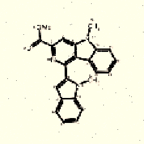 COC(=O)c1cc2c(c(-c3cc4ccccc4n3C)n1)c1ccccc1n2C